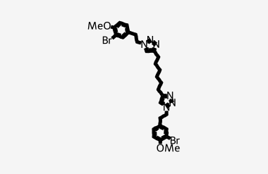 COc1ccc(CCn2cc(CCCCCCc3cn(CCc4ccc(OC)c(Br)c4)nn3)nn2)cc1Br